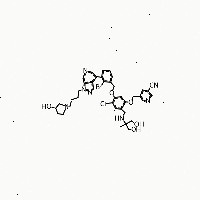 CC(CO)(CO)NCc1cc(Cl)c(OCc2cccc(-c3cncc4c3cnn4CCCCN3CC[C@@H](O)C3)c2Br)cc1OCc1cncc(C#N)c1